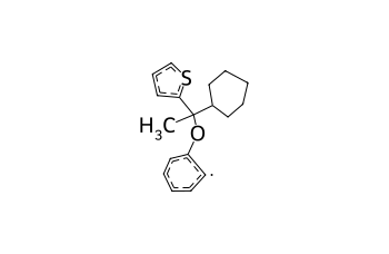 CC(Oc1[c]cccc1)(c1cccs1)C1CCCCC1